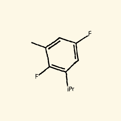 Cc1cc(F)cc(C(C)C)c1F